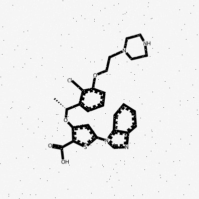 C[C@@H](Oc1cc(-n2cnc3ccccc32)sc1C(=O)O)c1cccc(OCCN2CCNCC2)c1Cl